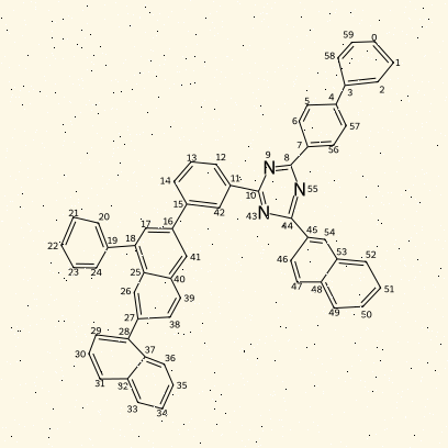 c1ccc(-c2ccc(-c3nc(-c4cccc(-c5cc(-c6ccccc6)c6cc(-c7cccc8ccccc78)ccc6c5)c4)nc(-c4ccc5ccccc5c4)n3)cc2)cc1